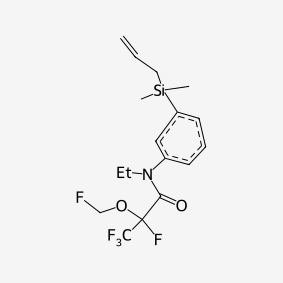 C=CC[Si](C)(C)c1cccc(N(CC)C(=O)C(F)(OCF)C(F)(F)F)c1